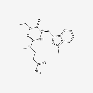 CCOC(=O)[C@@H](Cc1cn(C)c2ccccc12)NC(=O)[C@@H](C)CCC(N)=O